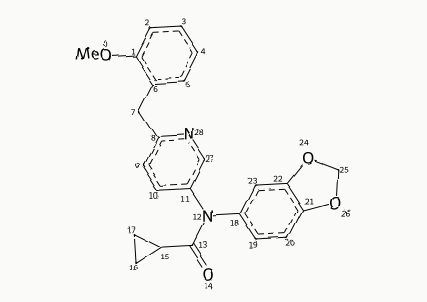 COc1ccccc1Cc1ccc(N(C(=O)C2CC2)c2ccc3c(c2)OCO3)cn1